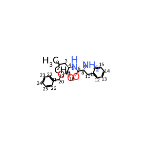 CC(C)C[C@@H](NC(=O)[C@H](N)Cc1ccccc1)C(=O)OCc1ccccc1